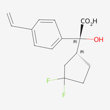 C=Cc1ccc([C@@](O)(C(=O)O)[C@@H]2CCC(F)(F)C2)cc1